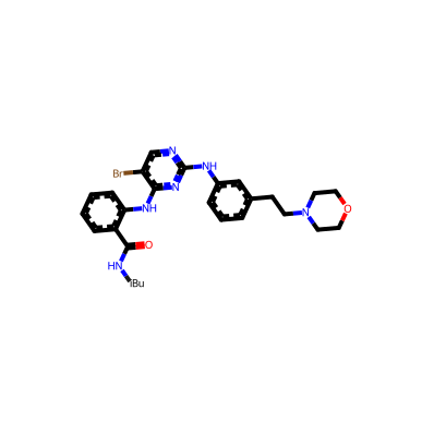 CCC(C)NC(=O)c1ccccc1Nc1nc(Nc2cccc(CCN3CCOCC3)c2)ncc1Br